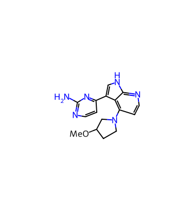 COC1CCN(c2ccnc3[nH]cc(-c4ccnc(N)n4)c23)C1